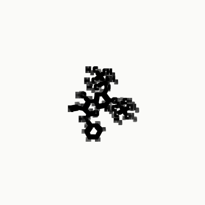 CC(C)(C)[Si](C)(C)Oc1ccc(/C(O)=C(/C#N)C(=O)Nc2ccccc2)cc1O[Si](C)(C)C(C)(C)C